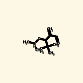 C=C(C=O)C(O[SiH](C)C)C(C)(C)C